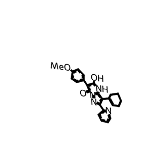 COc1ccc(-c2c(O)[nH]c3c(C4=CCCCC4)c(-c4ccccn4)nn3c2=O)cc1